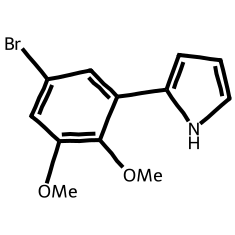 COc1cc(Br)cc(-c2ccc[nH]2)c1OC